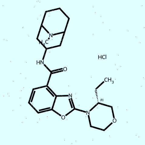 CC[C@@H]1COCCN1c1nc2c(C(=O)NC3CC4CCCC(C3)N4C)cccc2o1.Cl